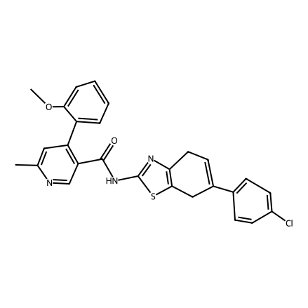 COc1ccccc1-c1cc(C)ncc1C(=O)Nc1nc2c(s1)CC(c1ccc(Cl)cc1)=CC2